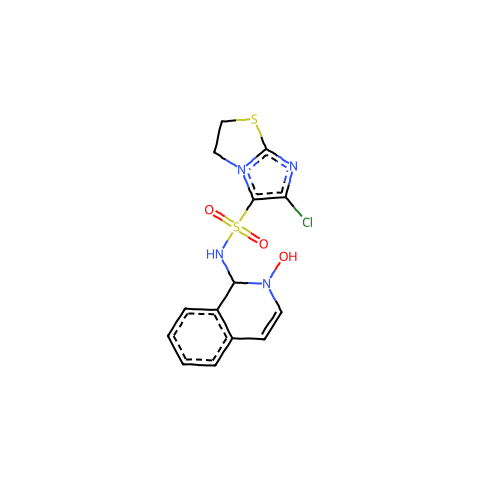 O=S(=O)(NC1c2ccccc2C=CN1O)c1c(Cl)nc2n1CCS2